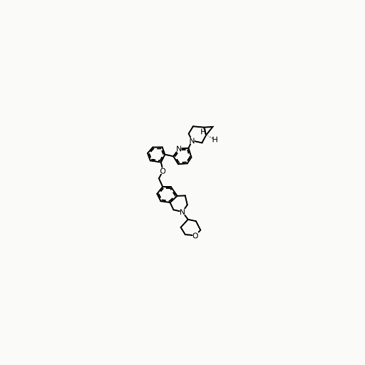 c1cc(-c2ccccc2OCc2ccc3c(c2)CCN(C2CCOCC2)C3)nc(N2CC[C@H]3C[C@H]3C2)c1